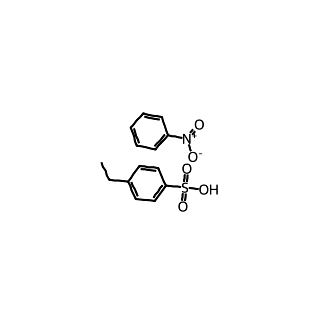 CCc1ccc(S(=O)(=O)O)cc1.O=[N+]([O-])c1ccccc1